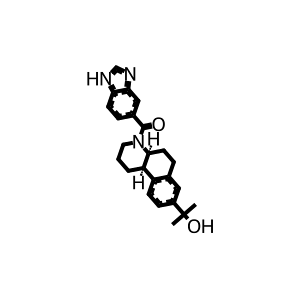 CC(C)(O)c1ccc2c(c1)CC[C@H]1[C@@H]2CCCN1C(=O)c1ccc2[nH]cnc2c1